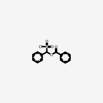 O=C(OC(c1ccccc1)S(=O)(=O)Cl)c1ccccc1